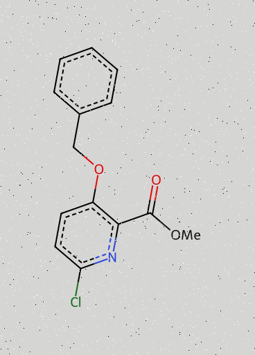 COC(=O)c1nc(Cl)ccc1OCc1ccccc1